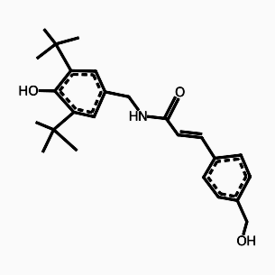 CC(C)(C)c1cc(CNC(=O)C=Cc2ccc(CO)cc2)cc(C(C)(C)C)c1O